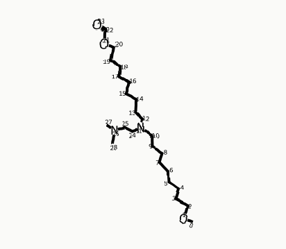 COCCCCCCCCCN(CCCCCCCCCOC=O)CCN(C)C